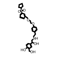 O=S(=O)(c1cccc(COCCOc2ccc(CCNCC(O)c3ccc(O)c(CO)c3)cc2)c1)C1CCCC1